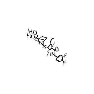 Cc1c(SN2C3CCC34C2CC4(O)CO)c2n(c1C(=O)Nc1ccc(F)c(F)c1)CCC=C2